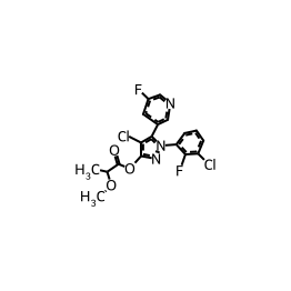 COC(C)C(=O)Oc1nn(-c2cccc(Cl)c2F)c(-c2cncc(F)c2)c1Cl